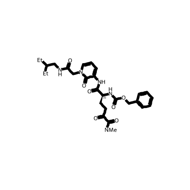 CCC(CC)CNC(=O)Cn1cccc(NC(=O)[C@H](CCC(=O)C(=O)NC)NC(=O)OCc2ccccc2)c1=O